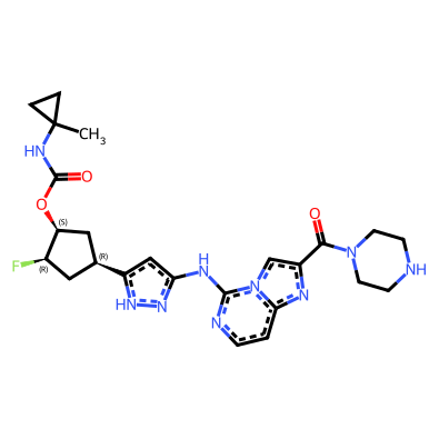 CC1(NC(=O)O[C@H]2C[C@@H](c3cc(Nc4nccc5nc(C(=O)N6CCNCC6)cn45)n[nH]3)C[C@H]2F)CC1